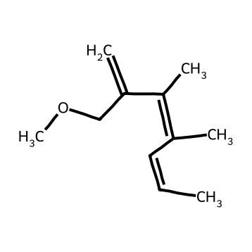 C=C(COC)/C(C)=C(C)\C=C/C